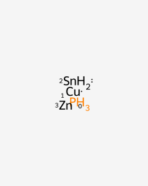 P.[Cu].[SnH2].[Zn]